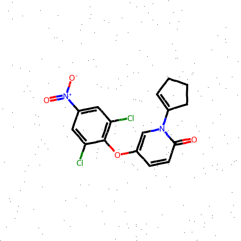 O=c1ccc(Oc2c(Cl)cc([N+](=O)[O-])cc2Cl)cn1C1=CCCC1